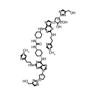 Cn1cnc(CCNc2nc(N[C@H]3CC[C@H](NC(=O)N[C@H]4CC[C@H](Nc5nc(NCCc6cn(C)cn6)nc6c5ncn6[C@@H]5C[C@H](n6ncc(CO)n6)[C@@H](O)[C@H]5O)CC4)CC3)c3ncn([C@H]4CC[C@@H](n5ncc(CO)n5)C4)c3n2)c1